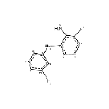 Nc1c(F)cccc1Nc1cncc(F)c1